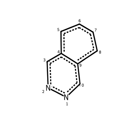 [c]1nn[c]c2ccccc12